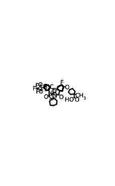 COc1cc(F)c(OC2CCC(C)(C(=O)O)CC2)cc1C(=O)N[C@H]1CCCCC[C@H]1C(=O)Nc1cccc(S(=O)(=O)C(F)(F)F)c1